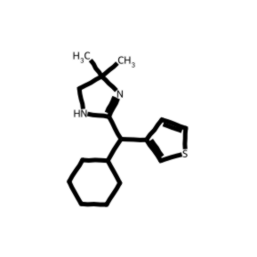 CC1(C)CNC(C(c2ccsc2)C2CCCCC2)=N1